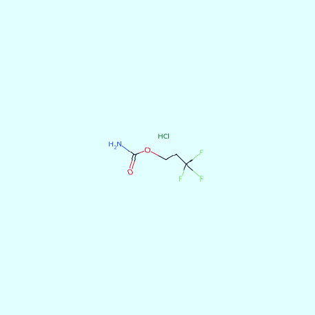 Cl.NC(=O)OCCC(F)(F)F